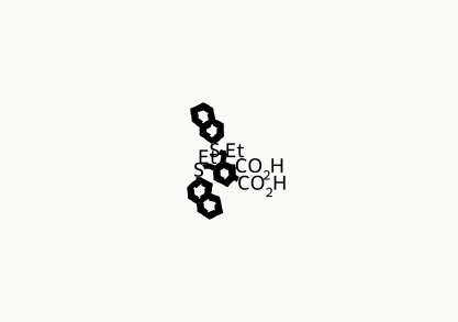 CCC(Sc1ccc2ccccc2c1)c1ccc(C(=O)O)c(C(=O)O)c1C(CC)Sc1ccc2ccccc2c1